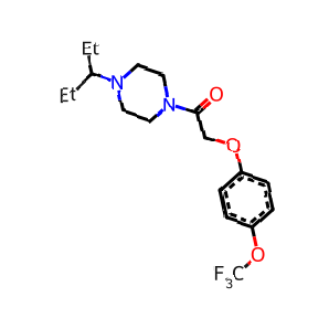 CCC(CC)N1CCN(C(=O)COc2ccc(OC(F)(F)F)cc2)CC1